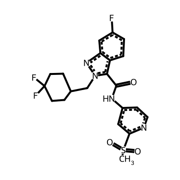 CS(=O)(=O)c1cc(NC(=O)c2c3ccc(F)cc3nn2CC2CCC(F)(F)CC2)ccn1